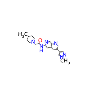 CC1CCN(CC(=O)Nc2cc3cc(-c4cnn(C)c4)cnc3cn2)CC1